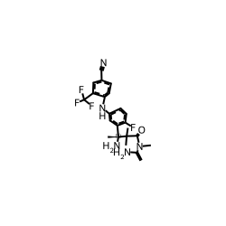 C=C(N)N(C)C(=O)C(C)(C)[C@](C)(N)c1cc(Nc2ccc(C#N)cc2C(F)(F)F)ccc1F